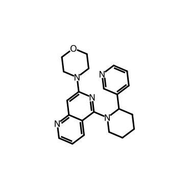 c1cncc(C2CCCCN2c2nc(N3CCOCC3)cc3ncccc23)c1